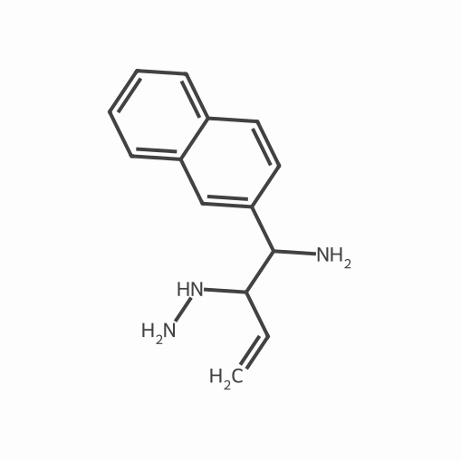 C=CC(NN)C(N)c1ccc2ccccc2c1